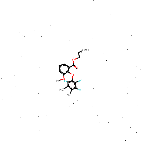 CCOc1cccc(C(=O)OCCOC)c1Oc1c(F)c(F)c(C#N)c(C#N)c1F